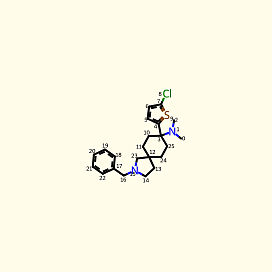 CN(C)C1(c2ccc(Cl)s2)CCC2(CCN(Cc3ccccc3)C2)CC1